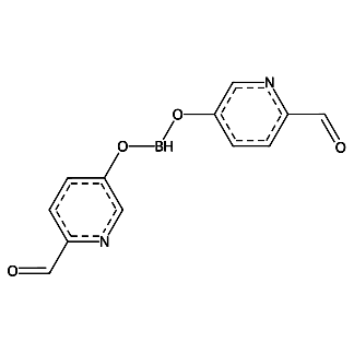 O=Cc1ccc(OBOc2ccc(C=O)nc2)cn1